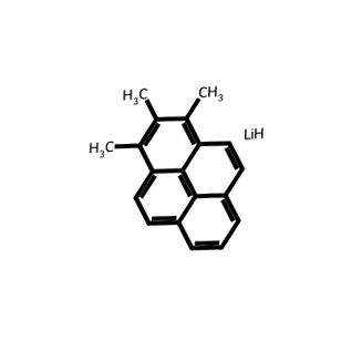 Cc1c(C)c2ccc3cccc4ccc(c1C)c2c34.[LiH]